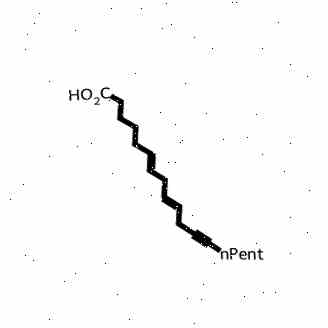 CCCCCC#CCC=CCC=CCCCCC(=O)O